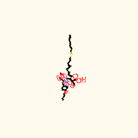 CCCCCCCSCCCCCCC=C[C@H](C(=O)N[C@@H](Cc1ccc(OCCCC)cc1)C(=O)OC)[C@@](O)(COC)C(=O)O